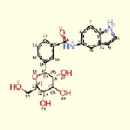 O=C(Nc1ccc2[nH]ccc2c1)c1cccc([C@H]2O[C@H](CO)[C@@H](O)[C@H](O)[C@H]2O)c1